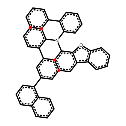 c1ccc(-c2ccccc2N(c2ccccc2-c2cccc(-c3cccc4ccccc34)c2)c2cccc3c2oc2ccccc23)cc1